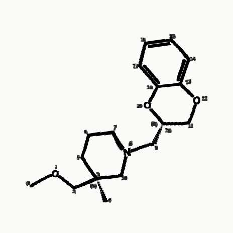 COC[C@@]1(C)CCCN(C[C@H]2COc3ccccc3O2)C1